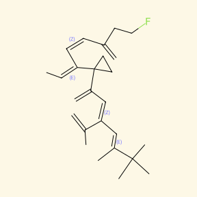 C=C(/C=C\C(=C/C)C1(C(=C)/C=C(/C=C(\C)C(C)(C)C)C(=C)C)CC1)CCF